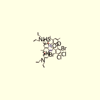 C=CCN(CC=C)c1ccc(/C(=C/C2(/C=C(/c3ccc(N(CC=C)CC=C)cc3)c3ccc(C)cc3C(C)S)OC(=O)c3c(Br)c(Cl)c(Cl)c(Br)c32)c2ccc(C)cc2C(C)S)cc1